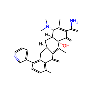 C=C(N)C1=C(C)[C@@H](N(C)C)[C@@H]2C[C@@H]3Cc4c(-c5cccnc5)ccc(C)c4C(=C)C3=C(C)[C@]2(O)C1=C